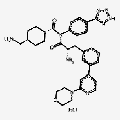 Cl.NC[C@H]1CC[C@H](C(=O)N(C(=O)[C@@H](N)Cc2cccc(-c3ccnc(N4CCOCC4)c3)c2)c2ccc(-c3nn[nH]n3)cc2)CC1